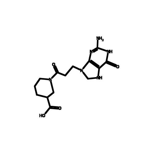 Nc1nc2c(c(=O)[nH]1)NCN2CCC(=O)N1CCCC(C(=O)O)C1